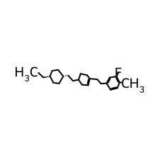 CCC[C@H]1CC[C@H](CCC2CC=C(CCc3ccc(C)c(F)c3)CC2)CC1